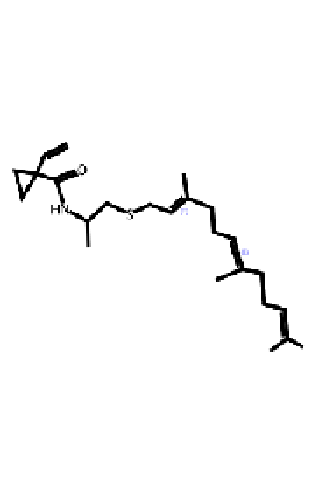 C=CC1(C(=O)NC(C)CSC/C=C(\C)CC/C=C(\C)CCC=C(C)C)CC1